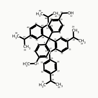 COc1ccc(C(c2ccc(CO)cc2)(c2cc(C(C)C)ccc2Oc2ccc(C(C)C)cc2)c2cc(C(C)C)ccc2OC(C)C)cc1